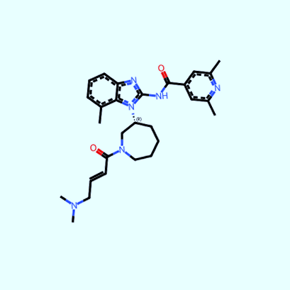 Cc1cc(C(=O)Nc2nc3cccc(C)c3n2[C@@H]2CCCCN(C(=O)C=CCN(C)C)C2)cc(C)n1